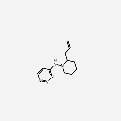 C=CCC1CCCCN1Nc1ccnnn1